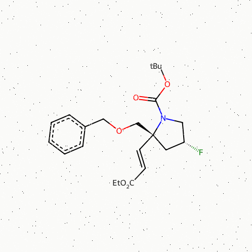 CCOC(=O)/C=C/[C@@]1(COCc2ccccc2)C[C@@H](F)CN1C(=O)OC(C)(C)C